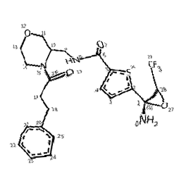 N[C@]1(c2ccc(C(=O)NCC3COCCN3C(=O)CCc3ccccc3)s2)OC1C(F)(F)F